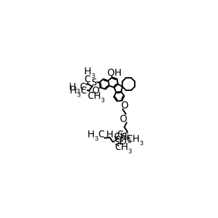 CCCC[Si](C)(C)O[Si](C)(C)CCCOCCOc1ccc2c(c1)C1(CCCCCCC1)c1cc(O)c3cc4c(cc3c1-2)OC(C(C)C)(C(C)C)S4